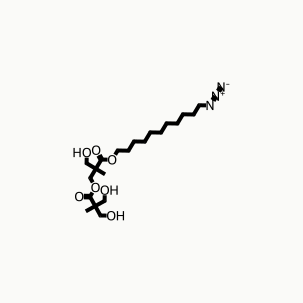 CC(CO)(CO)C(=O)OCC(C)(CO)C(=O)OCCCCCCCCCCCN=[N+]=[N-]